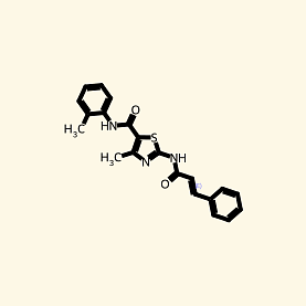 Cc1ccccc1NC(=O)c1sc(NC(=O)/C=C/c2ccccc2)nc1C